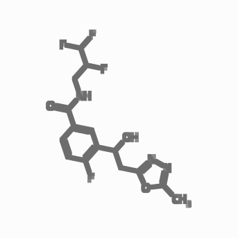 Cc1nnc(CC(O)c2cc(C(=O)NCC(F)C(F)F)ccc2F)o1